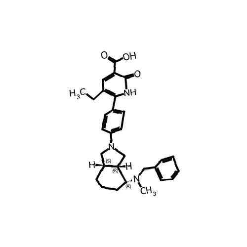 CCc1cc(C(=O)O)c(=O)[nH]c1-c1ccc(N2C[C@H]3CCC[C@@H](N(C)Cc4ccccc4)[C@H]3C2)cc1